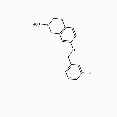 O=C(O)N1CCc2ccc(OCc3cccc(F)c3)cc2C1